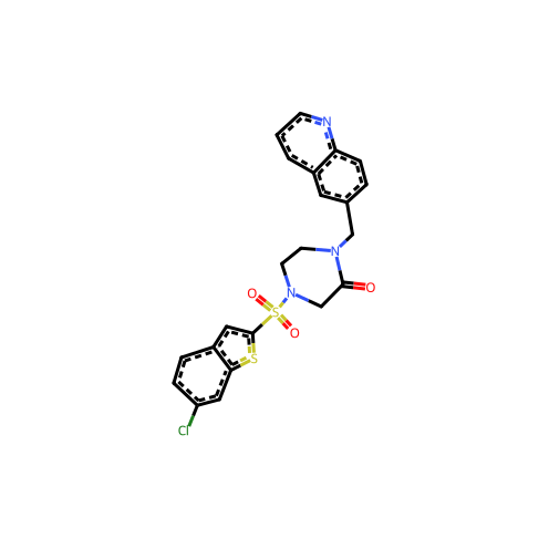 O=C1CN(S(=O)(=O)c2cc3ccc(Cl)cc3s2)CCN1Cc1ccc2ncccc2c1